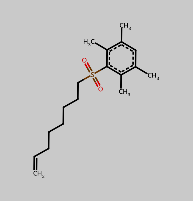 C=CCCCCCCS(=O)(=O)c1c(C)c(C)cc(C)c1C